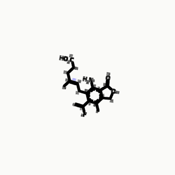 C=C(F)c1c(C)c2c(c(N)c1C/C=C(\C)CCC(=O)O)C(=O)OC2